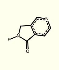 O=C1c2ccncc2CN1F